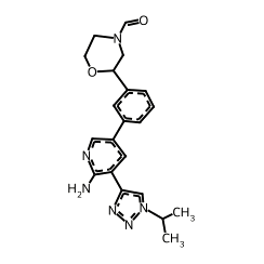 CC(C)n1cc(-c2cc(-c3cccc(C4CN(C=O)CCO4)c3)cnc2N)nn1